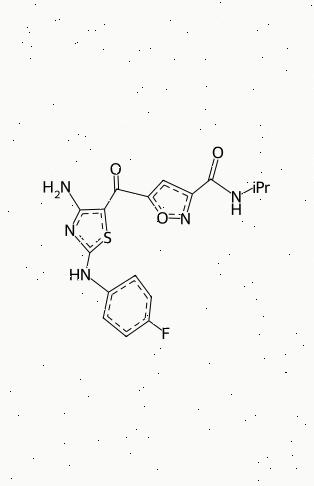 CC(C)NC(=O)c1cc(C(=O)c2sc(Nc3ccc(F)cc3)nc2N)on1